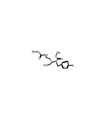 CC(C)(C)OC(=O)NCC[C@H](CO)N(Cc1ccc(Br)cc1)C(=O)OC(C)(C)C